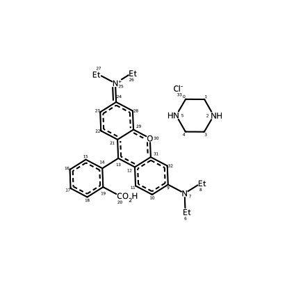 C1CNCCN1.CCN(CC)c1ccc2c(-c3ccccc3C(=O)O)c3ccc(=[N+](CC)CC)cc-3oc2c1.[Cl-]